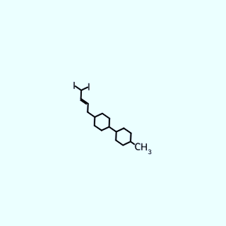 CC1CCC(C2CCC(CC=CC(I)I)CC2)CC1